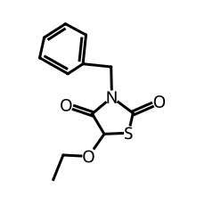 CCOC1SC(=O)N(Cc2ccccc2)C1=O